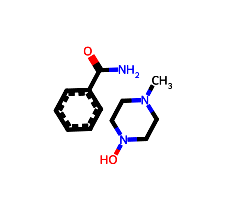 CN1CCN(O)CC1.NC(=O)c1ccccc1